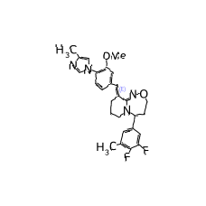 COc1cc(/C=C2\CCCN3C2=NOCCC3c2cc(C)c(F)c(F)c2)ccc1-n1cnc(C)c1